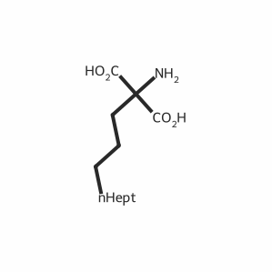 CCCCCCCCCCC(N)(C(=O)O)C(=O)O